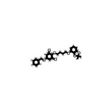 CC1(C)Oc2cccc(OCCCCOc3c(Cl)cc(OCc4ccccc4)cc3Cl)c2O1